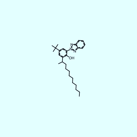 CCCCCCCCCCC(C)c1cc(C(C)(C)C)cc(-n2nc3ccccc3n2)c1O